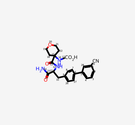 N#Cc1cccc(-c2ccc(CC(NC(=O)C3(NC(=O)O)CCOCC3)C(N)=O)cc2)c1